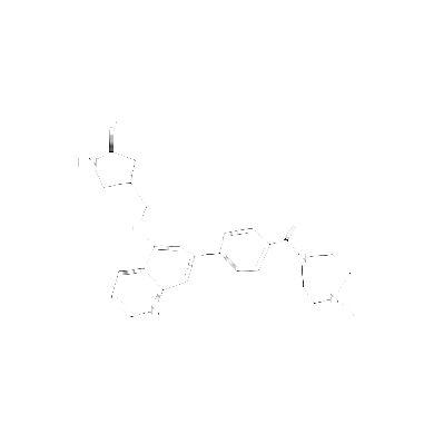 CN1CCN(C(=O)c2ccc(-c3cc(OCC4CNC(=O)C4)c4cccnc4c3)cc2)CC1